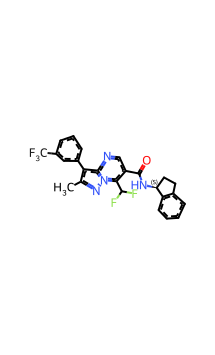 Cc1nn2c(C(F)F)c(C(=O)N[C@H]3CCc4ccccc43)cnc2c1-c1cccc(C(F)(F)F)c1